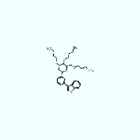 CCCCOC[C@H]1OC(c2cccc(-c3csc4ccccc34)c2)CC(OCCCC)[C@@H]1OCCCC